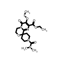 CCOC(=O)c1nc2n(c(=O)c1OSC)CCOC21CCN(C(=O)N(C)C)CC1